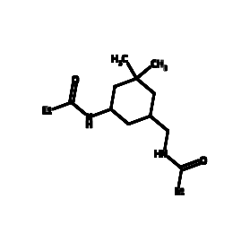 CCC(=O)NCC1CC(NC(=O)CC)CC(C)(C)C1